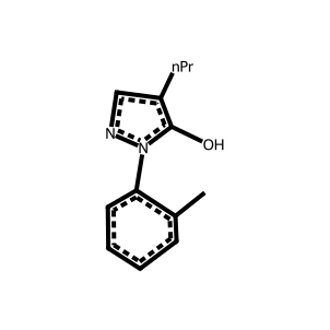 CCCc1cnn(-c2ccccc2C)c1O